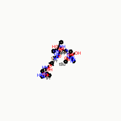 CC(C)c1nc(CN(C)C(=O)N[C@H](C(=O)N[C@@H](Cc2ccccc2)C[C@H](O)[C@H](Cc2ccccc2)NC(=O)OCc2cncs2)C(C)C)cs1.COc1ccccc1Oc1c(NS(=O)(=O)c2ccc(C(C)(C)C)cc2)nc(-c2ncccn2)nc1OCCO.Cc1cccc(C)c1OCC(=O)N[C@@H](Cc1ccccc1)[C@@H](O)C[C@H](Cc1ccccc1)NC(=O)[C@H](C(C)C)N1CCCNC1=O